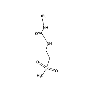 CC(C)(C)NC(=O)NCCS(C)(=O)=O